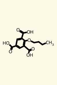 CCCCOc1c(C(=O)O)cc(C(=O)O)cc1C(=O)O